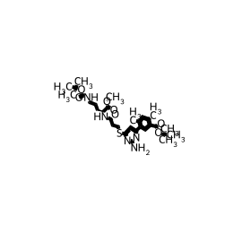 COC(=O)[C@H](CCCNC(=O)OC(C)(C)C)NC(=O)CCSc1cc(-c2cc(C(=O)OC(C)(C)C)c(C)cc2C)nc(N)n1